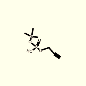 C#CCOP(=O)(O)O[Si](C)(C)C